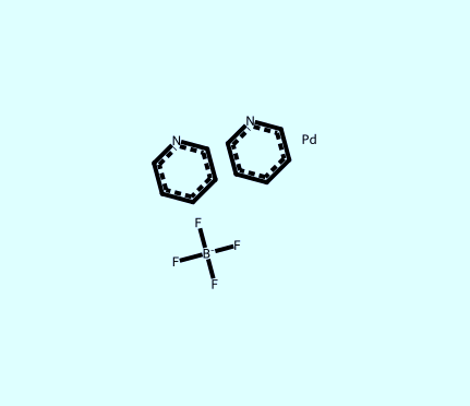 F[B-](F)(F)F.[Pd].c1ccncc1.c1ccncc1